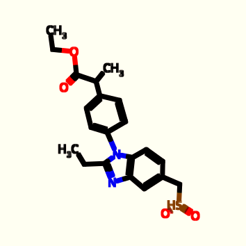 CCOC(=O)C(C)c1ccc(-n2c(CC)nc3cc(C[SH](=O)=O)ccc32)cc1